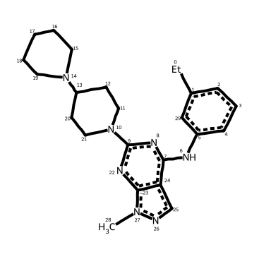 CCc1cccc(Nc2nc(N3CCC(N4CCCCC4)CC3)nc3c2cnn3C)c1